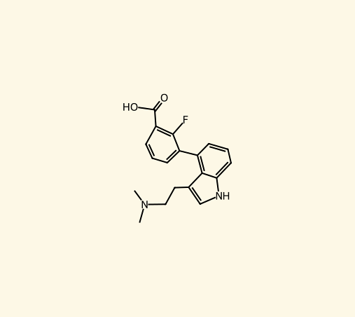 CN(C)CCc1c[nH]c2cccc(-c3cccc(C(=O)O)c3F)c12